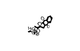 C=C(OP(=O)(O)OCC)C1CC2C(=O)c3ccccc3C(=O)C2O1